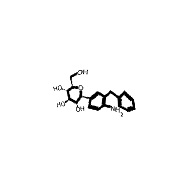 Nc1ccc([C@@H]2O[C@H](CO)[C@@H](O)[C@H](O)[C@H]2O)cc1Cc1ccccc1